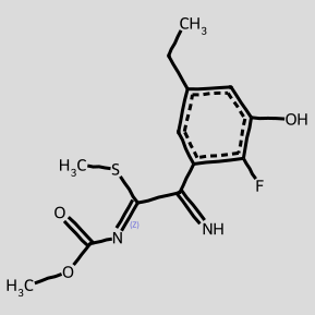 CCc1cc(O)c(F)c(C(=N)/C(=N/C(=O)OC)SC)c1